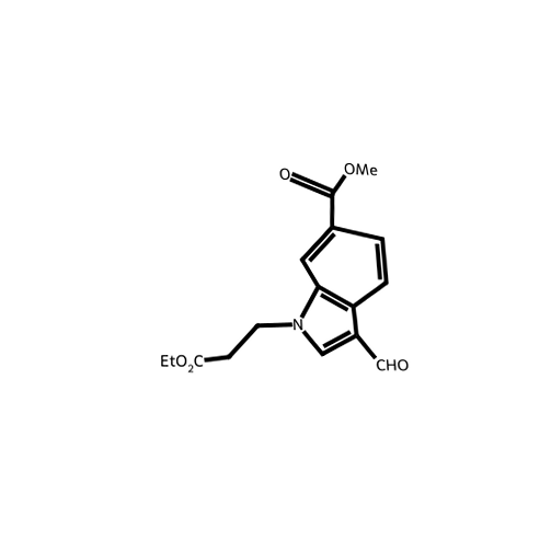 CCOC(=O)CCn1cc(C=O)c2ccc(C(=O)OC)cc21